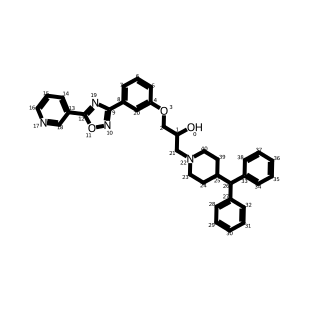 OC(COc1cccc(-c2noc(-c3cccnc3)n2)c1)CN1CCC(C(c2ccccc2)c2ccccc2)CC1